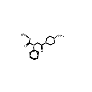 CCCCCCN1CCN(C(=O)CN(C(=O)OC(C)(C)C)c2ccccc2)CC1